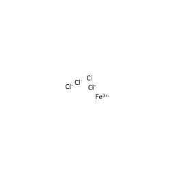 [C].[Cl-].[Cl-].[Cl-].[Fe+3]